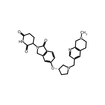 CN1CCc2cc(CN3CC[C@H](Oc4ccc5c(c4)CN(C4CCC(=O)NC4=O)C5=O)C3)cnc2C1